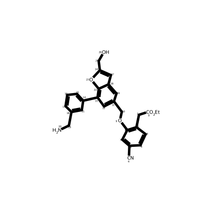 CCOC(=O)Cc1ccc(C#N)cc1OCc1cc(-c2cccc(CN)c2)c2oc(CO)cc2c1